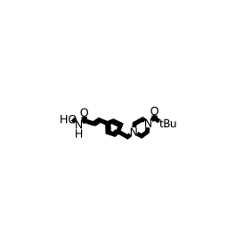 CC(C)(C)C(=O)N1CCN(Cc2ccc(/C=C/C(=O)NO)cc2)CC1